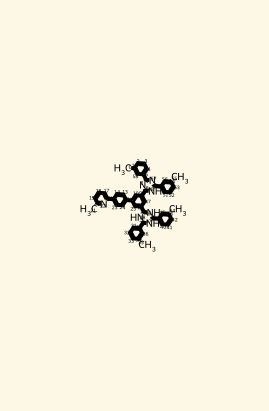 Cc1cccc(C2=NC(c3cc(-c4ccc(-c5cccc(C)n5)cc4)cc(C4NC(c5cccc(C)c5)NC(c5cccc(C)c5)N4)c3)NC(c3cccc(C)c3)=N2)c1